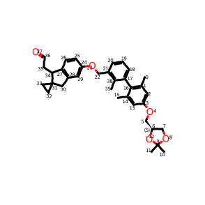 Cc1cc(OC[C@H]2COC(C)(C)O2)cc(C)c1-c1cccc(COc2ccc3c(c2)CC2(CC2)C3CC=O)c1C